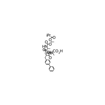 CC(OC(=O)NC(C)P(=O)(O)CC(Cc1ccc(-c2ccccc2)cc1)C(=O)NC(C)C(=O)O)OC(=O)C(C)C